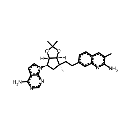 Cc1cc2ccc(CC[C@@]3(C)C[C@@H](n4ccc5c(N)ncnc54)[C@@H]4OC(C)(C)O[C@@H]43)cc2nc1N